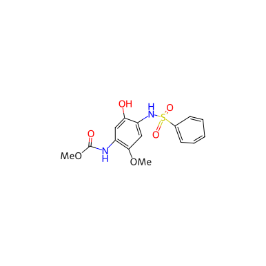 COC(=O)Nc1cc(O)c(NS(=O)(=O)c2ccccc2)cc1OC